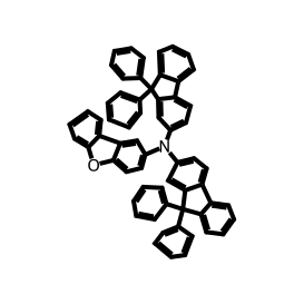 c1ccc(C2(c3ccccc3)c3ccccc3-c3ccc(N(c4ccc5c(c4)C(c4ccccc4)(c4ccccc4)c4ccccc4-5)c4ccc5oc6ccccc6c5c4)cc32)cc1